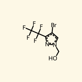 OCn1cc(Br)c(C(F)(F)C(F)(F)F)n1